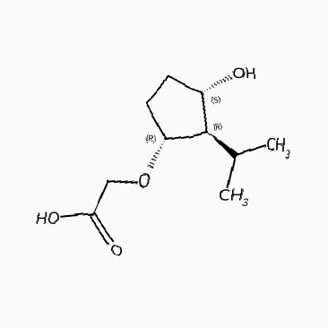 CC(C)[C@@H]1[C@@H](O)CC[C@H]1OCC(=O)O